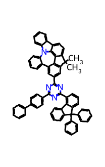 CC1(C)c2cc(-c3nc(-c4ccc(-c5ccccc5)cc4)nc(-c4cccc5c4-c4ccccc4C5(c4ccccc4)c4ccccc4)n3)cc3c2-c2c1ccc1c4ccccc4n(c21)-c1ccccc1-3